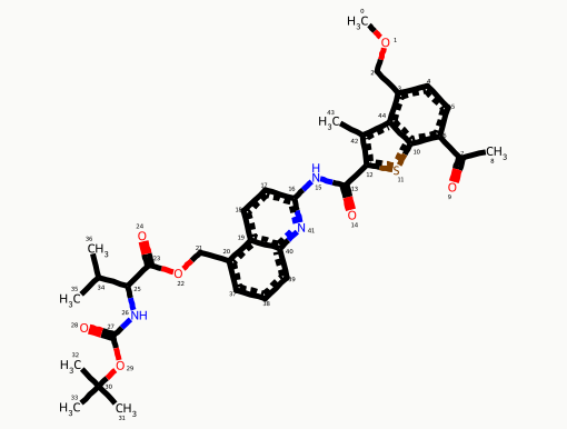 COCc1ccc(C(C)=O)c2sc(C(=O)Nc3ccc4c(COC(=O)C(NC(=O)OC(C)(C)C)C(C)C)cccc4n3)c(C)c12